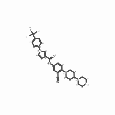 N#Cc1cc(NC(=O)c2ccn(-c3ccc(C(F)(F)F)cc3)c2)ccc1N1CCC(N2CCOCC2)CC1